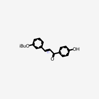 CC(C)COc1cccc(/C=C/C(=O)c2ccc(O)cc2)c1